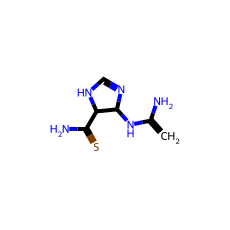 C=C(N)NC1N=CNC1C(N)=S